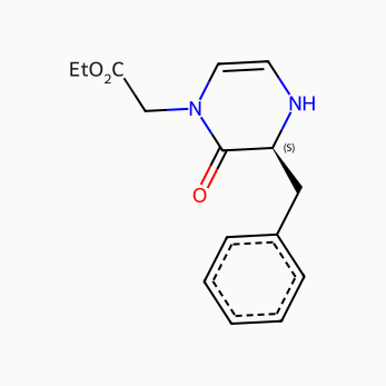 CCOC(=O)CN1C=CN[C@@H](Cc2ccccc2)C1=O